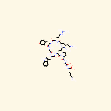 N=C(N)NCCC[C@H](NC(=O)[C@@H](N)CCCCN)C(=O)N[C@@H](Cc1ccc(O)cc1)C(=O)NCC(=O)N[C@@H](Cc1c[nH]c2ccccc12)C(=O)N[C@@H](CCCCN)C(=O)N1CCC[C@H]1C(=O)NCC(=O)N[C@@H](CCCCN)C(=O)O